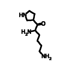 NCCCCC(N)C(=O)C1CCNC1